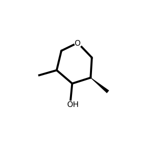 CC1COC[C@@H](C)C1O